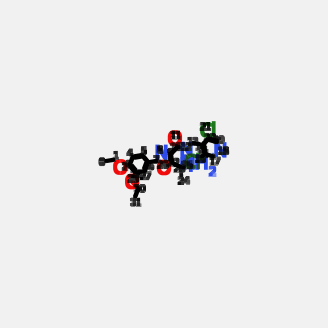 CCOc1ccc(-c2nc(C(=O)NCc3c(Cl)cncc3Cl)c([C@H](C)N)o2)cc1OCC